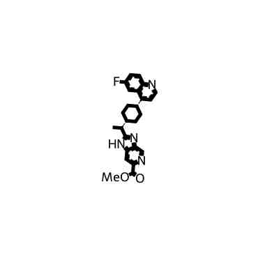 COC(=O)c1cc2[nH]c(C(C)[C@H]3CC[C@@H](c4ccnc5ccc(F)cc54)CC3)nc2cn1